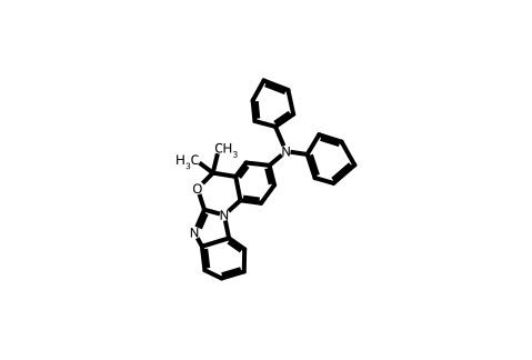 CC1(C)Oc2nc3ccccc3n2-c2ccc(N(c3ccccc3)c3ccccc3)cc21